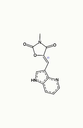 CN1C(=O)O/C(=C\c2c[nH]c3cccnc23)C1=O